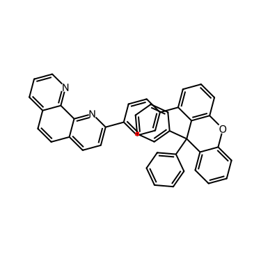 c1ccc(C2(c3ccccc3)c3ccccc3Oc3cccc(-c4ccc(-c5ccc6ccc7cccnc7c6n5)cc4)c32)cc1